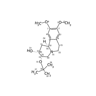 COc1cc2c(cc1OC)[C@@H]1C[C@@H](O)[C@@H](OC(C)(C)C)CN1CC2